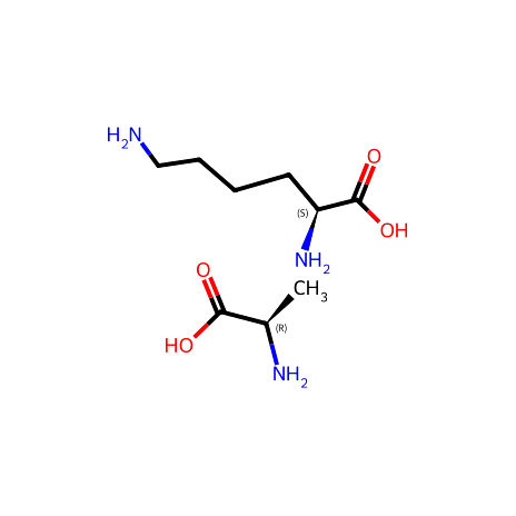 C[C@@H](N)C(=O)O.NCCCC[C@H](N)C(=O)O